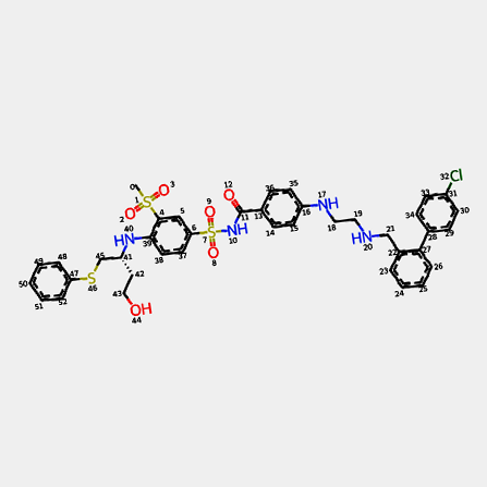 CS(=O)(=O)c1cc(S(=O)(=O)NC(=O)c2ccc(NCCNCc3ccccc3-c3ccc(Cl)cc3)cc2)ccc1N[C@H](CCO)CSc1ccccc1